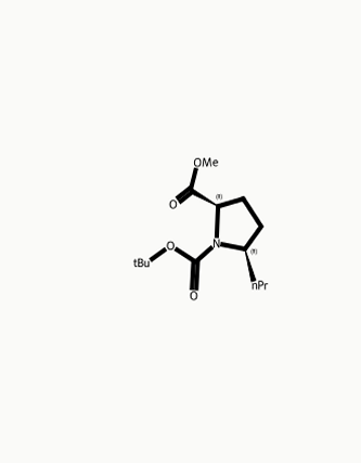 CCC[C@@H]1CC[C@H](C(=O)OC)N1C(=O)OC(C)(C)C